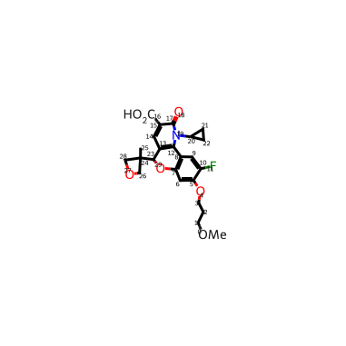 COCCCOc1cc2c(cc1F)-c1c(cc(C(=O)O)c(=O)n1C1CC1)C(C1(C)COC1)O2